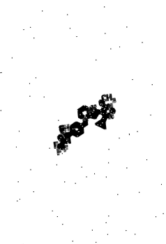 COc1ncnc(C2CC2)c1-c1cc2n(n1)CCCN2Cc1ccc(-c2nc(C(F)(F)F)cn2C)cc1